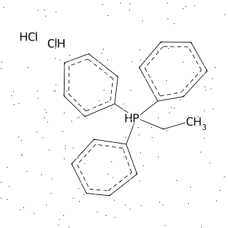 CC[PH](c1ccccc1)(c1ccccc1)c1ccccc1.Cl.Cl